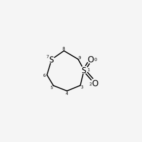 O=S1(=O)CCCCSCC1